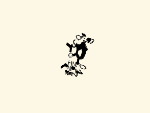 CCn1nnnc1NC(=O)c1ccc(S(C)(=O)=O)c(SC(C)C)c1Cl